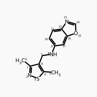 Cc1nsc(C)c1CNc1ccc2ncoc2c1